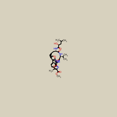 COC(=O)c1nc(-c2nc3oc2C24c5ccccc5NC2Oc2ccc(cc24)C[C@H](NC(=O)[C@@H](O)CC(C)C)C(=O)N[C@H]3C(C)C)oc1C